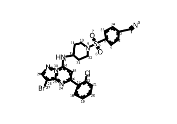 N#Cc1ccc(S(=O)(=O)N2CCC(Nc3cc(-c4ccccc4Cl)nc4c(Br)cnn34)CC2)cc1